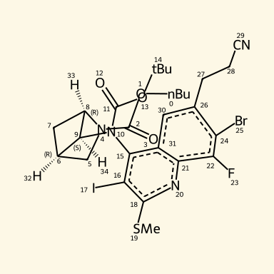 CCCCOC(=O)N1C[C@H]2C[C@@H]1[C@H]2N(C(=O)OC(C)(C)C)c1c(I)c(SC)nc2c(F)c(Br)c(CCC#N)cc12